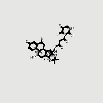 CC1(C)O[C@@H]2CC3C4C[C@H](F)C5=CC(=O)C=C[C@]5(C)[C@@]4(F)[C@@H](O)C[C@]3(C)[C@]2(C(=O)COC(=O)CC(=O)n2c(=O)[nH]cc(F)c2=O)O1